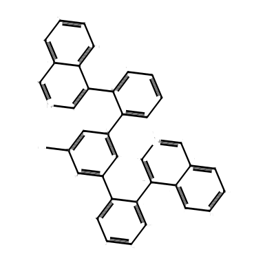 Clc1cc(-c2ccccc2-c2cncc3ccccc23)cc(-c2ccccc2-c2cncc3ccccc23)c1